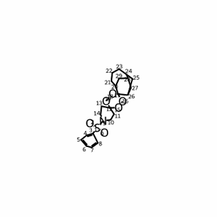 O=S(=O)(c1ccccc1)N1CCC2(CC1)OOC1(OO2)C2CCCC3CC1CC3C2